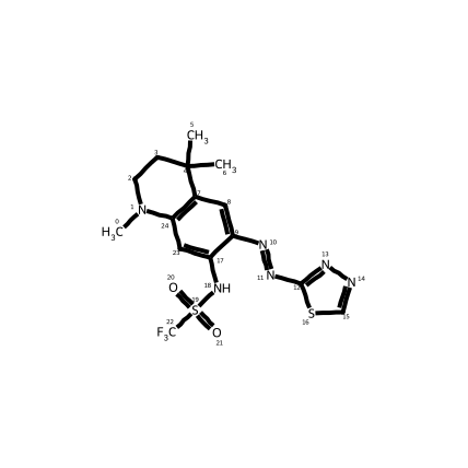 CN1CCC(C)(C)c2cc(N=Nc3nncs3)c(NS(=O)(=O)C(F)(F)F)cc21